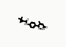 Cc1cc(=O)[nH]nc1-c1ccc(NC(=O)C2CC2(C)C)cc1